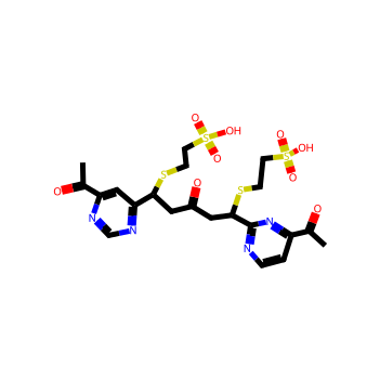 CC(=O)c1cc(C(CC(=O)CC(SCCS(=O)(=O)O)c2nccc(C(C)=O)n2)SCCS(=O)(=O)O)ncn1